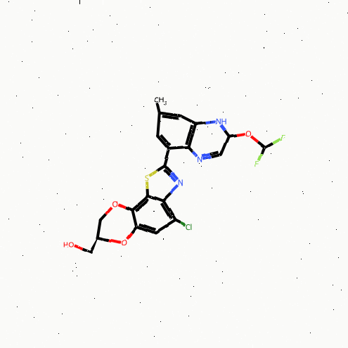 Cc1cc2c(c(-c3nc4c(Cl)cc5c(c4s3)OC[C@H](CO)O5)c1)N=CC(OC(F)F)N2